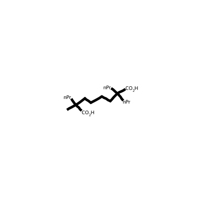 CCCC(C)(CCCCC(CCC)(CCC)C(=O)O)C(=O)O